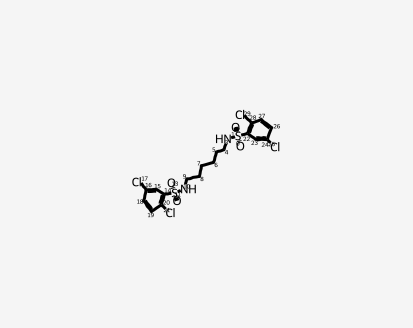 O=S(=O)(NCCCCCCNS(=O)(=O)c1cc(Cl)ccc1Cl)c1cc(Cl)ccc1Cl